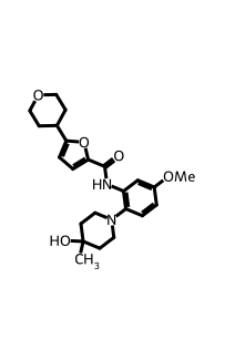 COc1ccc(N2CCC(C)(O)CC2)c(NC(=O)c2ccc(C3CCOCC3)o2)c1